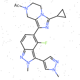 CC(=O)N1CCn2c(C3CC3)nc(-c3ccc4nn(C)c(-c5cnn(C)c5)c4c3F)c2C1